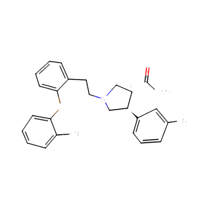 COC(=O)[C@H]1CN(CCc2ccccc2Sc2ccccc2C#N)C[C@@H]1c1cccc(C#N)c1